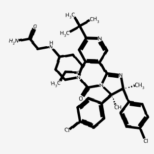 CCOc1cc(C(C)(C)C)ncc1C1=N[C@@](C)(c2ccc(Cl)cc2)[C@@](C)(c2ccc(Cl)cc2)N1C(=O)N1CCC(NCC(N)=O)CC1